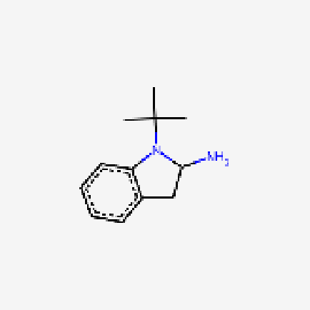 CC(C)(C)N1c2ccccc2CC1N